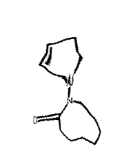 O=C1CCCN1N1C=CCC1